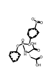 O=C(O)C[C@H](NP(=O)(Oc1ccccc1)Oc1ccc([N+](=O)[O-])cc1)C(=O)O